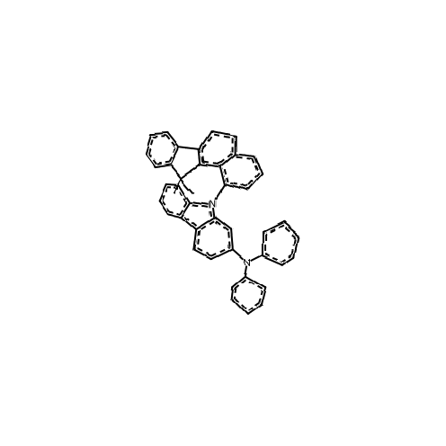 CC1(C)c2ccccc2-c2ccc3cccc(-n4c5ccccc5c5ccc(N(c6ccccc6)c6ccccc6)cc54)c3c21